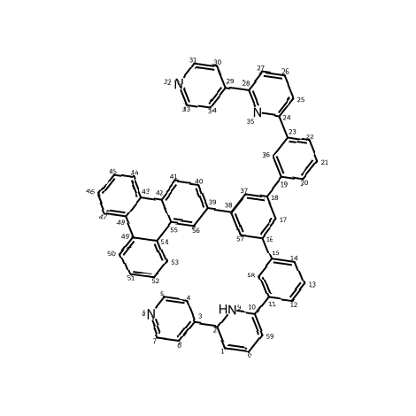 C1=CC(c2ccncc2)NC(c2cccc(-c3cc(-c4cccc(-c5cccc(-c6ccncc6)n5)c4)cc(-c4ccc5c6ccccc6c6ccccc6c5c4)c3)c2)=C1